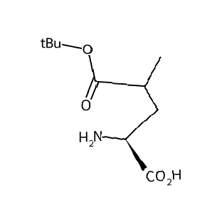 CC(C[C@H](N)C(=O)O)C(=O)OC(C)(C)C